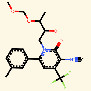 [C-]#[N+]c1c(C(F)(F)F)cc(-c2cccc(C)c2)n(CC(O)C(C)OCOC)c1=O